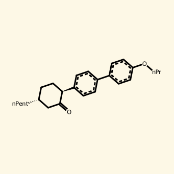 CCCCC[C@@H]1CC[C@@H](c2ccc(-c3ccc(OCCC)cc3)cc2)C(=O)C1